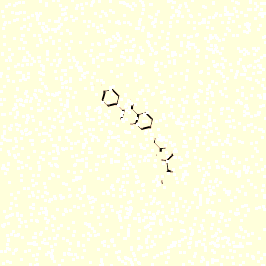 COC(=O)c1coc(COc2ccc3c(=O)c(-c4ccc(O)cc4)coc3c2)n1